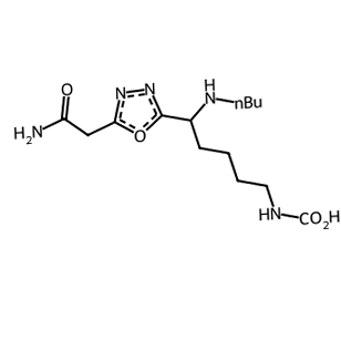 CCCCNC(CCCCNC(=O)O)c1nnc(CC(N)=O)o1